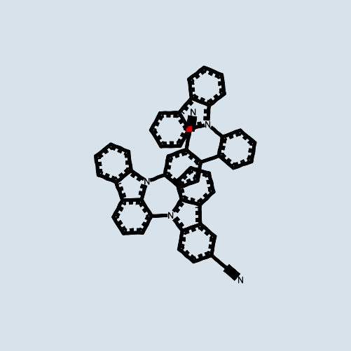 N#Cc1ccc2c(c1)c1ccccc1n2-c1cccc2c3ccccc3n(-c3ccc(-c4ccccc4-n4c5ccccc5c5ccccc54)c(C#N)c3)c12